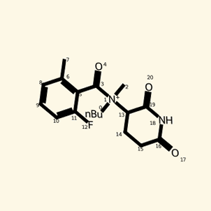 CCCC[N+](C)(C(=O)c1c(C)cccc1F)C1CCC(=O)NC1=O